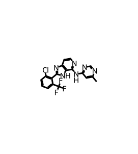 Cc1cc(Nc2nccc3nc(-c4c(Cl)cccc4C(F)(F)F)[nH]c23)ncn1